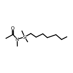 CCCCCCC[Si](C)(C)N(C)C(C)=O